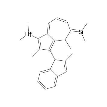 CC1=Cc2ccccc2C1C1=C2C(=CC=CC(=[Si](C)C)C2C)[C]([Hf]([CH3])[CH3])=C1C